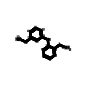 NCc1ccccc1Oc1cccc(CO)c1